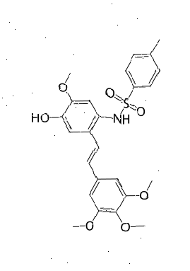 COc1cc(NS(=O)(=O)c2ccc(C)cc2)c(C=Cc2cc(OC)c(OC)c(OC)c2)cc1O